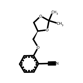 CC1(C)OC[C@H](COc2ccccc2C#N)O1